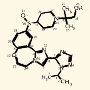 CC(C)n1ncnc1-c1cn2c(n1)-c1cc([S+]([O-])C3CCN(C(C)(C)CO)CC3)ccc1OCC2